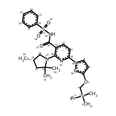 CC(C)[Si](C)(C)COc1ccn(-c2ccc(C(=O)NS(=O)(=O)c3ccccc3)c(N3C[C@@H](C)CC3(C)C)n2)n1